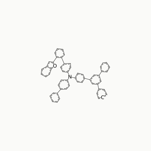 c1ccc(-c2ccc(N(c3ccc(-c4cc(-c5ccccc5)cc(-c5ccccc5)c4)cc3)c3ccc(-c4ccccc4-c4cc5ccccc5o4)cc3)cc2)cc1